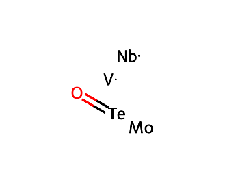 O=[Te].[Mo].[Nb].[V]